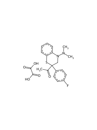 CC(=O)C1(c2ccc(F)cc2)CN(N(C)C)c2ccccc2S1.O=C(O)C(=O)O